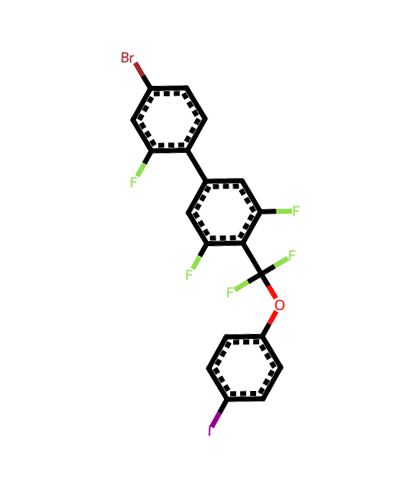 Fc1cc(Br)ccc1-c1cc(F)c(C(F)(F)Oc2ccc(I)cc2)c(F)c1